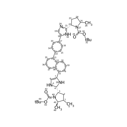 CC1C[C@@H](C2NC=C(c3cccc4c(-c5ccc(-c6cnc([C@@H]7CCC(C)N7C(=O)OC(C)(C)C)[nH]6)cc5)cccc34)N2)N(C(=O)OC(C)(C)C)[C@@H]1C